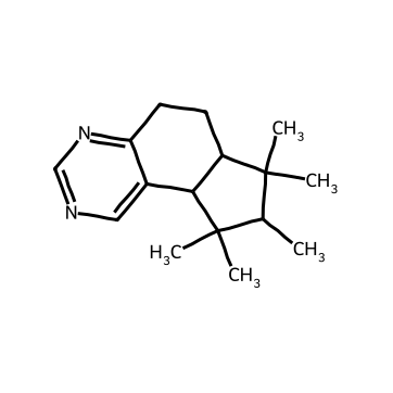 CC1C(C)(C)C2CCc3ncncc3C2C1(C)C